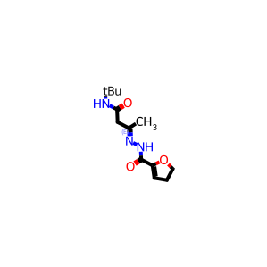 C/C(CC(=O)NC(C)(C)C)=N\NC(=O)C1=CCCO1